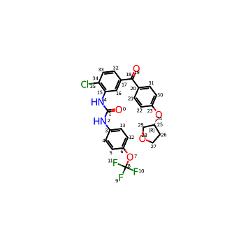 O=C(Nc1ccc(OC(F)(F)F)cc1)Nc1cc(C(=O)c2ccc(O[C@@H]3CCOC3)cc2)ccc1Cl